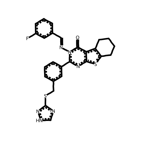 O=c1c2c3c(sc2nc(-c2cccc(CSc4nc[nH]n4)c2)n1/N=C/c1cccc(F)c1)CCCC3